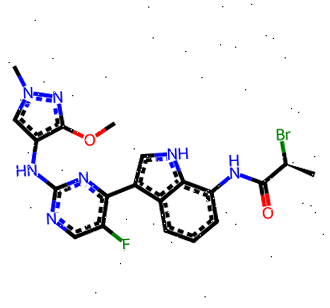 COc1nn(C)cc1Nc1ncc(F)c(-c2c[nH]c3c(NC(=O)[C@H](C)Br)cccc23)n1